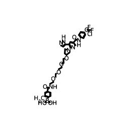 Cc1cc(C(=O)NCCOCCOCCOCCO[C@@H]2CCN(c3ncc(C(=O)Nc4ccc(OC(F)(F)Cl)cc4)cc3-c3ccn[nH]3)C2)ccc1B(O)O